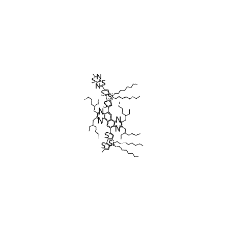 CCCCCCCC[Si]1(CCCCCCCC)c2cc(C)sc2-c2sc(-c3cc4c(cc(-c5cc6c(s5)-c5sc(-c7nc8sc(C)nc8s7)cc5[Si]6(CCCCCCCC)CCCCCCCC)c5nc(CC(CC)CCCC)c(CC(CC)CCCC)nc54)c4nc(CC(CC)CCCC)c(CC(CC)CCCC)nc34)cc21